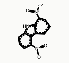 O=[N+]([O-])c1cccc2c1[nH]c1cccc([N+](=O)[O-])c12